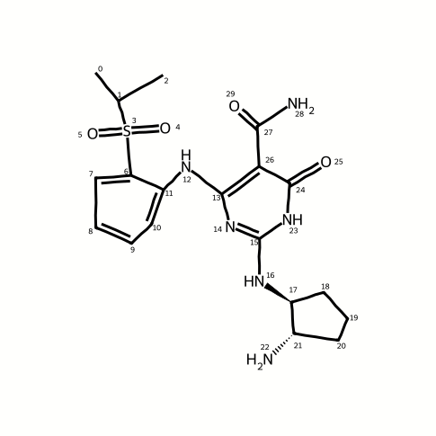 CC(C)S(=O)(=O)c1ccccc1Nc1nc(N[C@H]2CCC[C@@H]2N)[nH]c(=O)c1C(N)=O